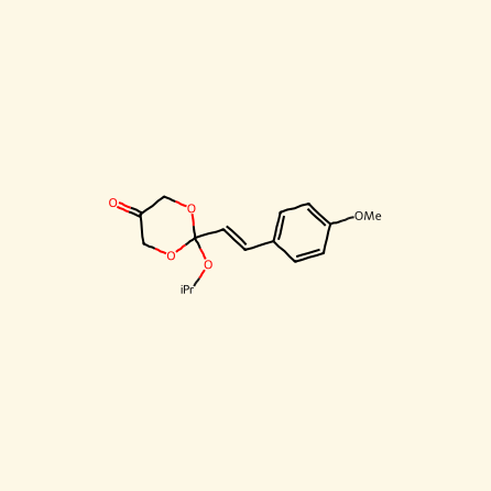 COc1ccc(/C=C/C2(OC(C)C)OCC(=O)CO2)cc1